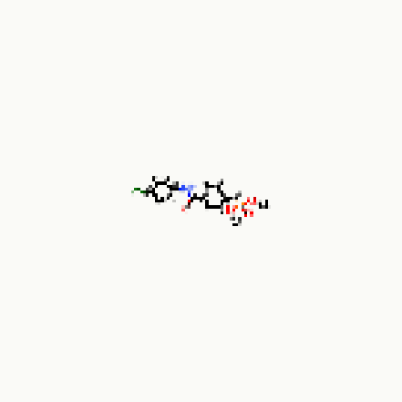 CCOP(=O)(Cc1ccc(C(=O)Nc2ccc(Cl)cc2)cc1)OCC